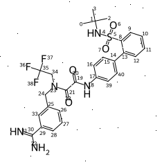 CC(C)(C)NS(=O)(=O)c1ccccc1-c1ccc(NC(=O)C(=O)N(Cc2cccc(C(=N)N)c2)CC(F)(F)F)cc1